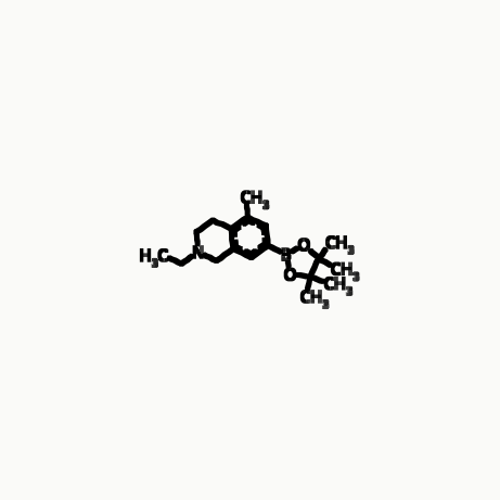 CCN1CCc2c(C)cc(B3OC(C)(C)C(C)(C)O3)cc2C1